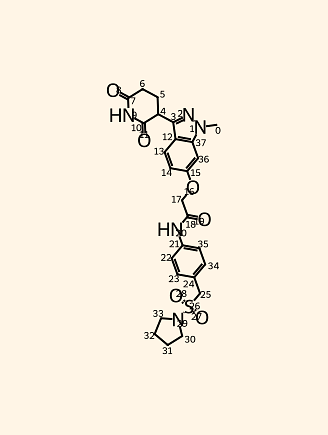 Cn1nc(C2CCC(=O)NC2=O)c2ccc(OCC(=O)Nc3ccc(CS(=O)(=O)N4CCCC4)cc3)cc21